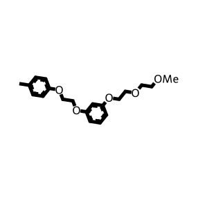 COCCOCCOc1cccc(OCCOc2ccc(C)cc2)c1